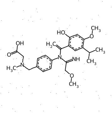 C=C(c1cc(C(C)C)c(OC)cc1O)N(C(=N)COC)c1ccc(CN(C)CC(=O)O)cc1